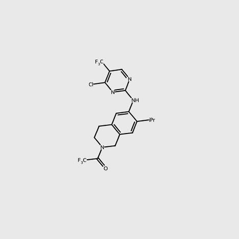 CC(C)c1cc2c(cc1Nc1ncc(C(F)(F)F)c(Cl)n1)CCN(C(=O)C(F)(F)F)C2